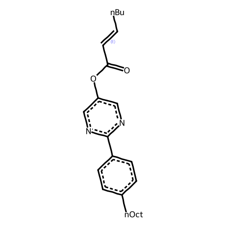 CCCC/C=C/C(=O)Oc1cnc(-c2ccc(CCCCCCCC)cc2)nc1